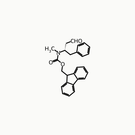 CN(C(=O)OCC1c2ccccc2-c2ccccc21)[C@H](CC=O)Cc1ccccc1